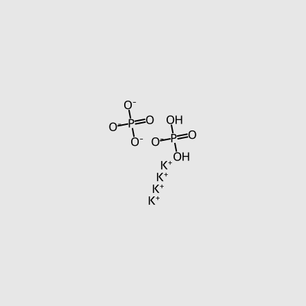 O=P([O-])(O)O.O=P([O-])([O-])[O-].[K+].[K+].[K+].[K+]